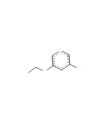 CCOc1cncc(O)c1